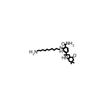 CC1(C)CC(=O)C2=C(C1)NC(C)(c1ccc(C(N)=O)c(NCCCCCCCCCCN)c1)C2